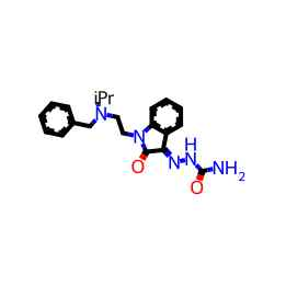 CC(C)N(CCN1C(=O)/C(=N/NC(N)=O)c2ccccc21)Cc1ccccc1